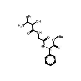 CCCCOC(=O)[C@@H](NC(=O)CNC(=O)C(O)C(N)CCC)c1ccccc1